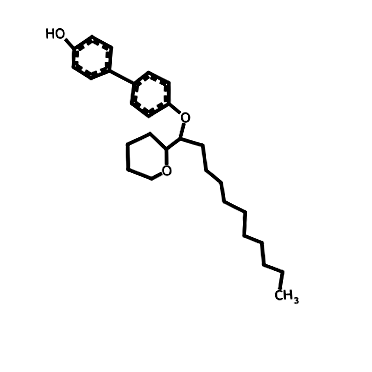 CCCCCCCCCCC(Oc1ccc(-c2ccc(O)cc2)cc1)C1CCCCO1